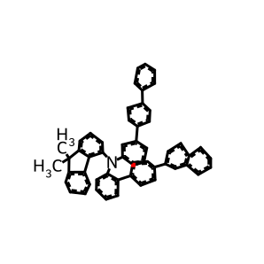 CC1(C)c2ccccc2-c2c(N(c3cccc(-c4ccc(-c5ccccc5)cc4)c3)c3ccccc3-c3ccc(-c4ccc5ccccc5c4)cc3)cccc21